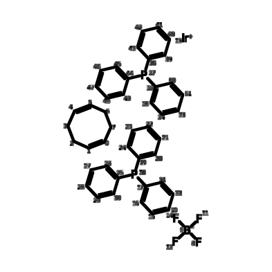 C1=C\CC/C=C\CC/1.F[B-](F)(F)F.[Ir+].c1ccc(P(c2ccccc2)c2ccccc2)cc1.c1ccc(P(c2ccccc2)c2ccccc2)cc1